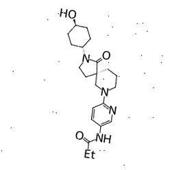 CCC(=O)Nc1ccc(N2CCC[C@@]3(CCN([C@H]4CC[C@H](O)CC4)C3=O)C2)nc1